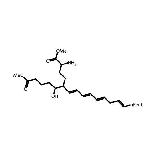 CCCCCC=CCC=CC=CC=CC(SC[C@H](N)C(=O)OC)C(O)CCCC(=O)OC